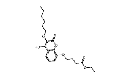 CCCCCCOc1c(O)c2cccc(OCCCC(=O)OCC)c2oc1=O